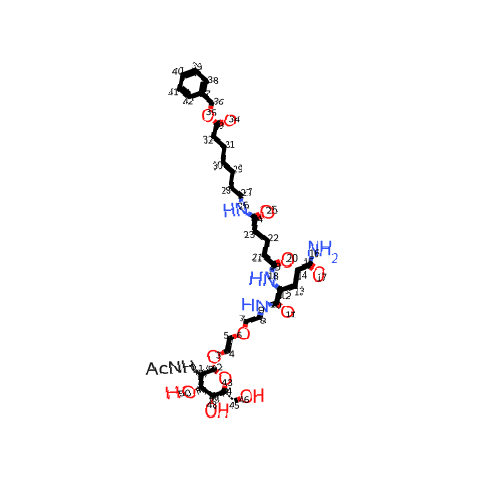 CC(=O)N[C@H]1[C@H](OCCOCCNC(=O)C(CCC(N)=O)NC(=O)CCCC(=O)NCCCCCCC(=O)OCc2ccccc2)O[C@H](CO)[C@H](O)[C@@H]1O